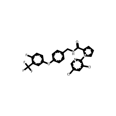 O=C(NCc1ccc(Oc2ccc(F)c(C(F)(F)F)c2)cc1)c1cccn1-c1ncc(Cl)cc1Cl